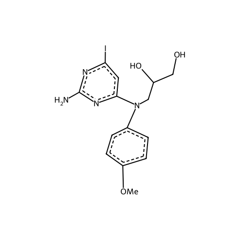 COc1ccc(N(CC(O)CO)c2cc(I)nc(N)n2)cc1